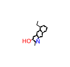 CCc1cccc2cc3nc(C)c(O)cc3cc12